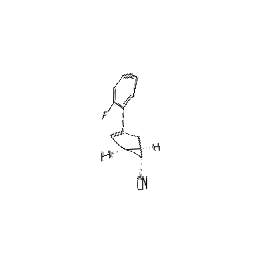 N#C[C@@H]1[C@H]2C=C(c3ccccc3F)C[C@@H]12